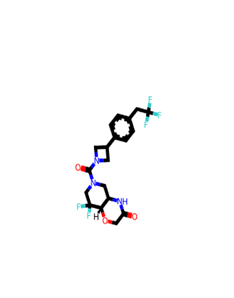 O=C1CO[C@H]2C(CN(C(=O)N3CC(c4ccc(CC(F)(F)F)cc4)C3)CC2(F)F)N1